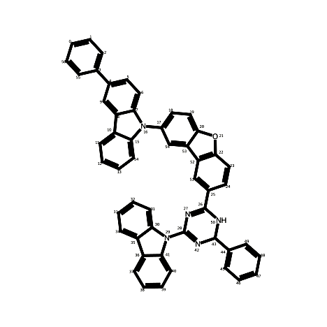 c1ccc(-c2ccc3c(c2)c2ccccc2n3-c2ccc3oc4ccc(C5=NC(n6c7ccccc7c7ccccc76)=NC(c6ccccc6)N5)cc4c3c2)cc1